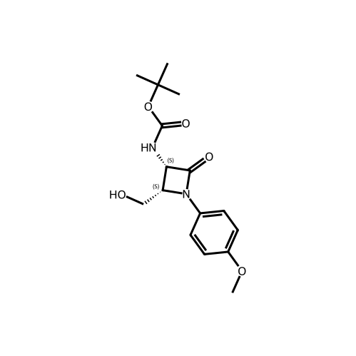 COc1ccc(N2C(=O)[C@@H](NC(=O)OC(C)(C)C)[C@H]2CO)cc1